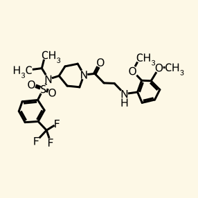 COc1cccc(NCCC(=O)N2CCC(N(C(C)C)S(=O)(=O)c3cccc(C(F)(F)F)c3)CC2)c1OC